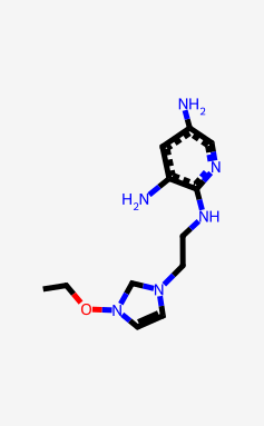 CCON1C=CN(CCNc2ncc(N)cc2N)C1